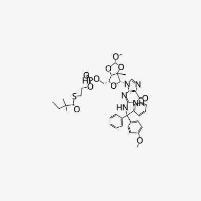 CCC(C)(C)C(=O)SCCO[PH](=O)OC[C@H]1O[C@@H](n2cnc3c(=O)[nH]c(NC(c4ccccc4)(c4ccccc4)c4ccc(OC)cc4)nc32)[C@@]2(C)OC(OC)OC12